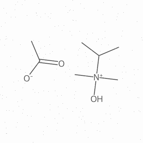 CC(=O)[O-].CC(C)[N+](C)(C)O